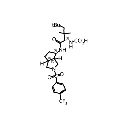 CC(C)(C)CC(C)(C)[C@H](NC(=O)O)C(=O)N[C@@H]1CC[C@H]2CN(S(=O)(=O)c3ccc(C(F)(F)F)cc3)C[C@H]21